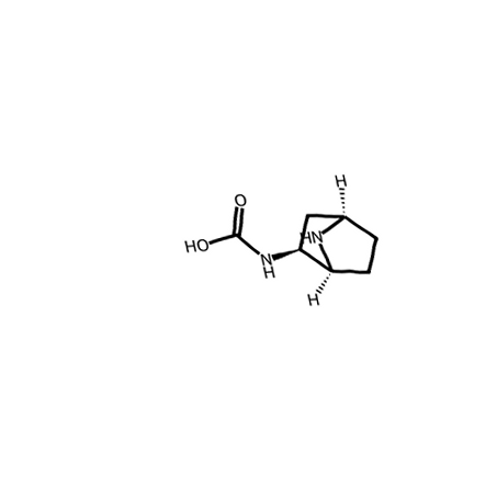 O=C(O)N[C@H]1C[C@H]2CC[C@@H]1N2